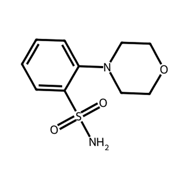 NS(=O)(=O)c1ccccc1N1CCOCC1